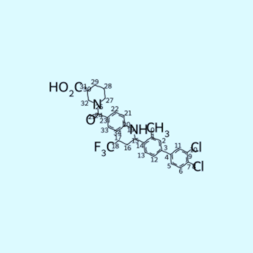 Cc1cc(-c2ccc(Cl)c(Cl)c2)ccc1C(CCC(F)(F)F)Nc1ccc(C(=O)N2CCC[C@@H](C(=O)O)C2)cc1